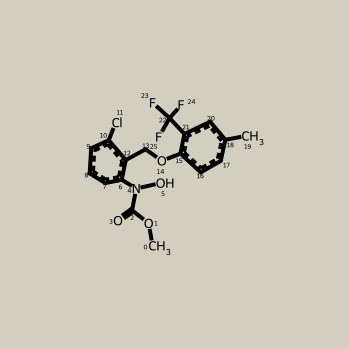 COC(=O)N(O)c1cccc(Cl)c1COc1ccc(C)cc1C(F)(F)F